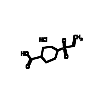 C=CS(=O)(=O)C1CCC(C(=O)O)CC1.Cl